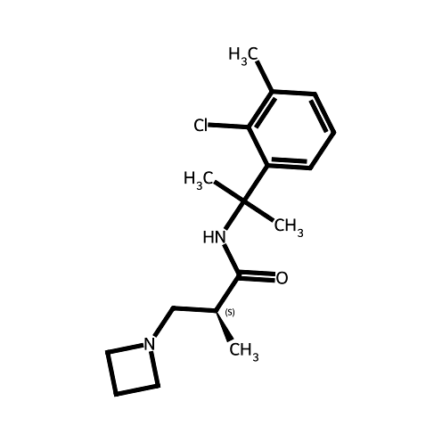 Cc1cccc(C(C)(C)NC(=O)[C@@H](C)CN2CCC2)c1Cl